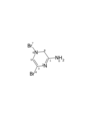 NC1=NC(Br)=CN(Br)C1